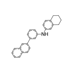 c1cc(Nc2ccc3c(c2)CCCC3)cc(-c2ccc3ccccc3c2)c1